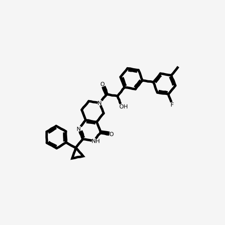 Cc1cc(F)cc(-c2cccc(C(O)C(=O)N3CCc4nc(C5(c6ccccc6)CC5)[nH]c(=O)c4C3)c2)c1